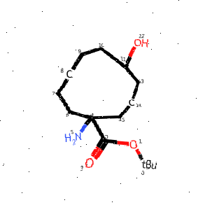 CC(C)(C)OC(=O)C1(N)CCCCCC(O)CCC1